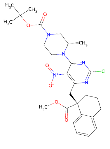 COC(=O)[C@]1(Cc2nc(Cl)nc(N3CCN(C(=O)OC(C)(C)C)C[C@@H]3C)c2[N+](=O)[O-])CCCc2ccccc21